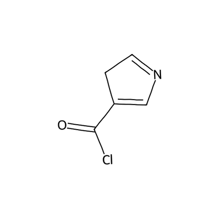 O=C(Cl)C1=CN=CC1